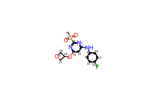 CS(=O)(=O)c1nc(Nc2ccc(F)cc2)cc(OC2COC2)n1